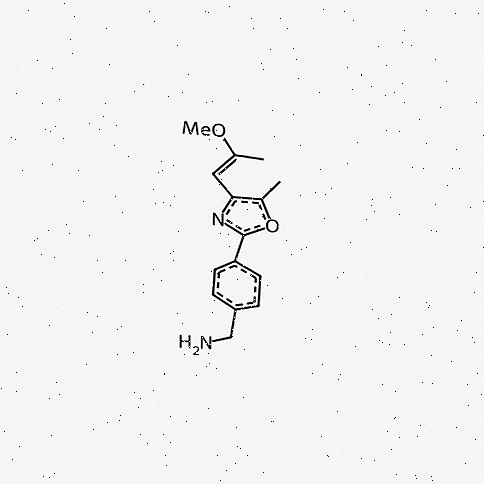 CO/C(C)=C/c1nc(-c2ccc(CN)cc2)oc1C